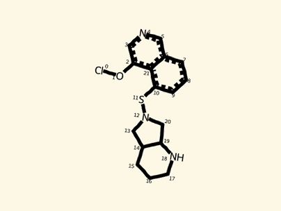 ClOc1cncc2cccc(SN3CC4CCCNC4C3)c12